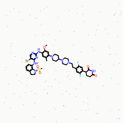 COc1cc(N2CCC(N3CCN(CCc4cc(F)c(C5CCC(=O)NC5=O)cc4F)CC3)CC2)c(C)cc1Nc1ncc(Br)c(Nc2cccc3c2N(S(C)(=O)=O)CC3)n1